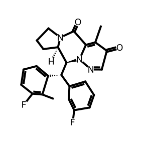 Cc1c(F)cccc1[C@@H](c1cccc(F)c1)[C@H]1[C@H]2CCCN2C(=O)c2c(C)c(=O)cnn21